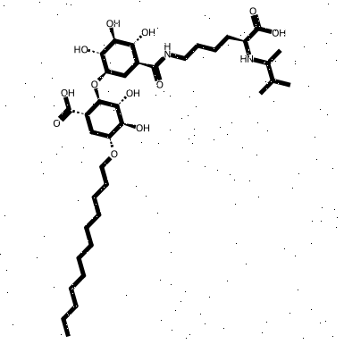 CCCCCCCCCCCCO[C@@H]1C[C@H](C(=O)O)[C@@H](O[C@@H]2C[C@H](C(=O)NCCCC[C@H](NC(C)C(C)C)C(=O)O)[C@@H](O)[C@H](O)[C@H]2O)[C@H](O)[C@H]1O